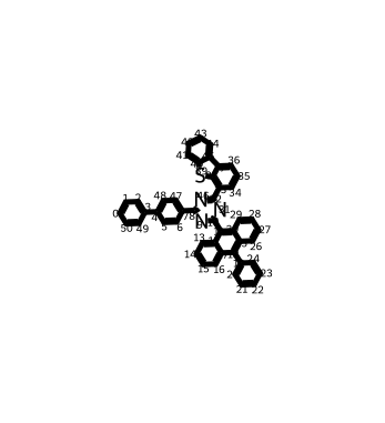 c1ccc(-c2ccc(-c3nc(-c4c5ccccc5c(-c5ccccc5)c5ccccc45)nc(-c4cccc5c4sc4ccccc45)n3)cc2)cc1